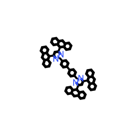 c1ccc2c(-c3cc(-c4c5ccccc5cc5ccccc45)nc(-c4ccc(-c5ccc(-c6nc(-c7c8ccccc8cc8ccccc78)cc(-c7c8ccccc8cc8ccccc78)n6)cc5)cc4)n3)c3ccccc3cc2c1